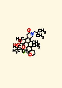 Cc1c(-c2c(C)c3c(c(C)c2[C@H](OC(C)(C)C)C(=O)O)CC(=O)N(CC(C)C)C3)cc(F)c2c1CCCO2